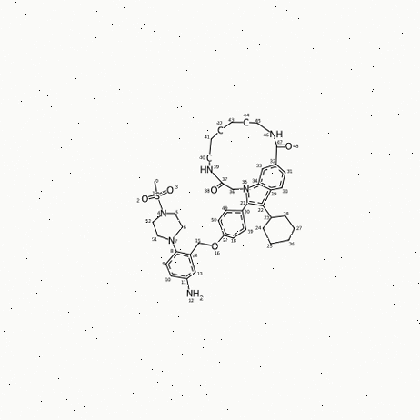 CS(=O)(=O)N1CCN(c2ccc(N)cc2COc2ccc(-c3c(C4CCCCC4)c4ccc5cc4n3CC(=O)NCCCCCCNC5=O)cc2)CC1